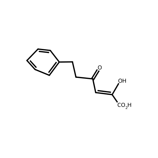 O=C(/C=C(\O)C(=O)O)CCc1ccccc1